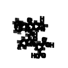 O=C(O)c1cc(NC(=O)C(CNC(=O)c2cc3nc[nH]c3cc2C(=O)NCC23CC4CC(CC(C4)C2)C3)c2ccc(I)cc2)cc(C(=O)O)c1